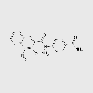 C=Nc1c(O)c(C(=O)N(N)c2ccc(C(N)=O)cc2)cc2ccccc12